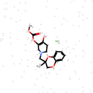 COC(=O)OC1=C(O)CCN(CC2(C)COc3ccccc3O2)C1.Cl